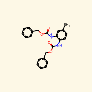 Bc1ccc(NC(=O)OCc2ccccc2)c(NC(=O)OCc2ccccc2)c1